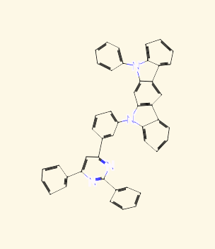 c1ccc(-c2cc(-c3cccc(-n4c5ccccc5c5cc6c7ccccc7n(-c7ccccc7)c6cc54)c3)nc(-c3ccccc3)n2)cc1